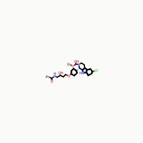 CCOC(O)N1CCc2c([nH]c3ccc(Cl)cc23)[C@@H]1c1ccc(OCCC(O)CNC(=O)C(C)C)cc1